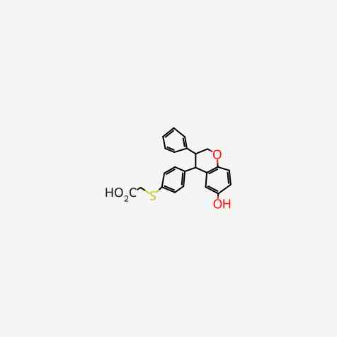 O=C(O)CSc1ccc(C2c3cc(O)ccc3OCC2c2ccccc2)cc1